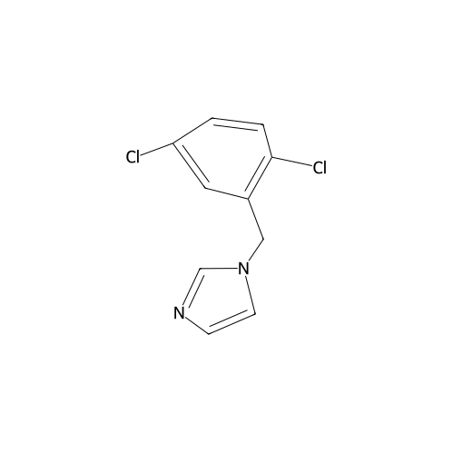 Clc1ccc(Cl)c(Cn2ccnc2)c1